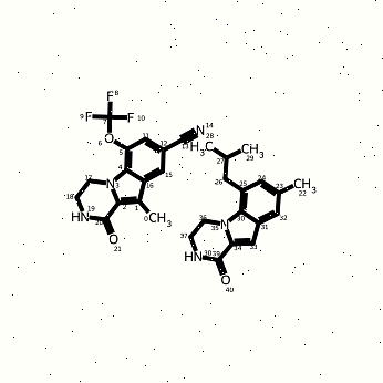 Cc1c2n(c3c(OC(F)(F)F)cc(C#N)cc13)CCNC2=O.Cc1cc(CC(C)C)c2c(c1)cc1n2CCNC1=O